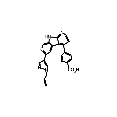 C=CCn1cc(-c2cc3c(cn2)[nH]c2nccc(-c4ccc(C(=O)O)cc4)c23)cn1